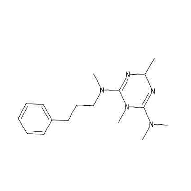 CC1N=C(N(C)C)N(C)C(N(C)CCCc2ccccc2)=N1